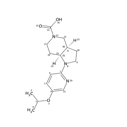 CC(C)Oc1ccc(N2CC[C@@H]3CN(C(=O)O)CC[C@@H]32)nc1